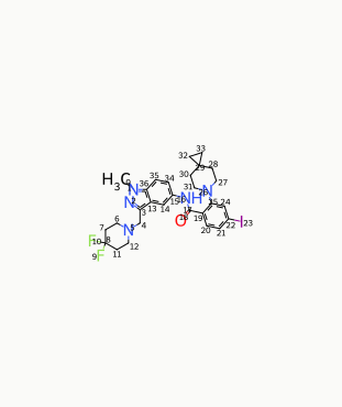 Cn1nc(CN2CCC(F)(F)CC2)c2cc(NC(=O)c3ccc(I)cc3N3CCC4(CC3)CC4)ccc21